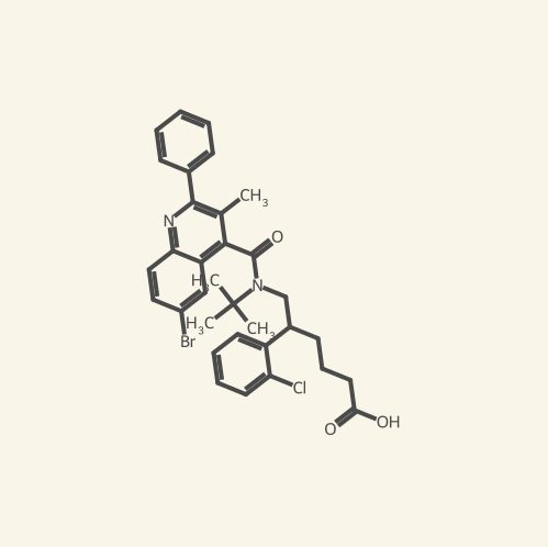 Cc1c(-c2ccccc2)nc2ccc(Br)cc2c1C(=O)N(CC(CCCC(=O)O)c1ccccc1Cl)C(C)(C)C